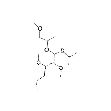 CCC[C@@H](OC)C(OC)C(OC(C)C)OC(C)COC